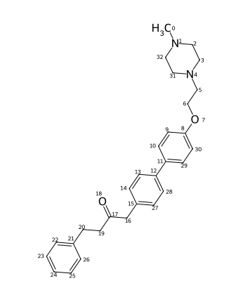 CN1CCN(CCOc2ccc(-c3ccc(CC(=O)CCc4ccccc4)cc3)cc2)CC1